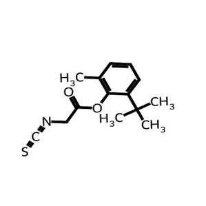 Cc1cccc(C(C)(C)C)c1OC(=O)CN=C=S